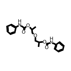 CC(COCC(C)OC(=O)Nc1ccccc1)OC(=O)Nc1ccccc1